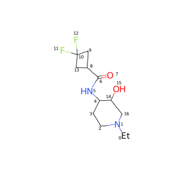 CCN1CCC(NC(=O)C2CC(F)(F)C2)C(O)C1